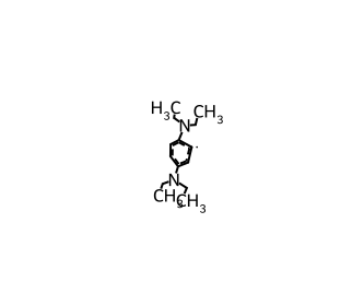 CCN(CC)c1[c]cc(N(CC)CC)cc1